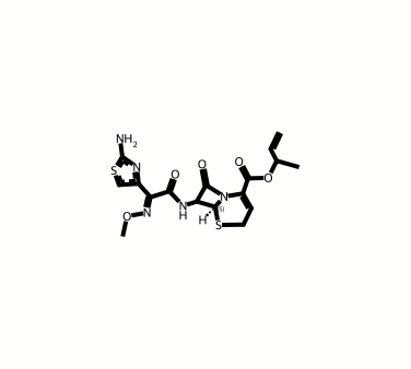 C=CC(C)OC(=O)C1=CCS[C@H]2C(NC(=O)C(=NOC)c3csc(N)n3)C(=O)N12